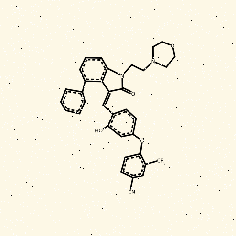 N#Cc1ccc(Oc2ccc(C=C3C(=O)N(CCN4CCOCC4)c4cccc(-c5ccccc5)c43)c(O)c2)c(C(F)(F)F)c1